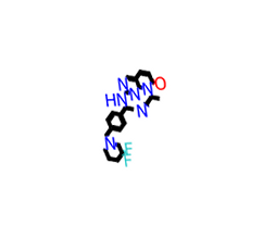 CC(Nc1ncc2ccc(=O)n(C(C)C#N)c2n1)c1ccc(CN2CCCC(F)(F)C2)cc1